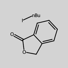 CCCCI.O=C1OCc2ccccc21